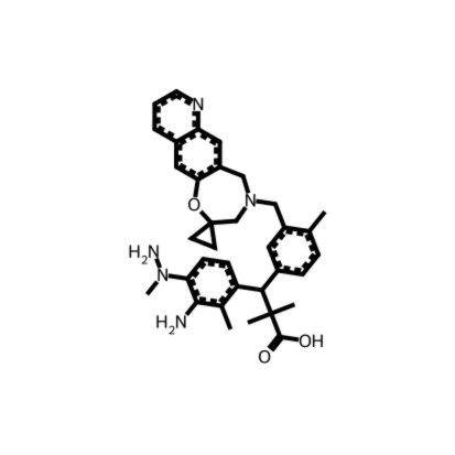 Cc1ccc(C(c2ccc(N(C)N)c(N)c2C)C(C)(C)C(=O)O)cc1CN1Cc2cc3ncccc3cc2OC2(CC2)C1